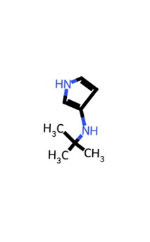 CC(C)(C)Nc1cc[nH]c1